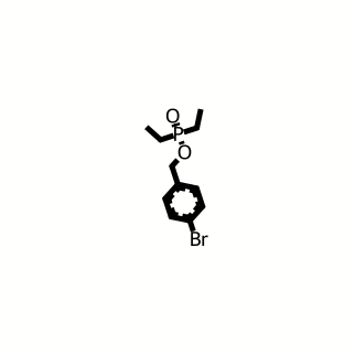 CCP(=O)(CC)OCc1ccc(Br)cc1